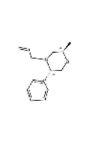 C=CCN1C[C@@H](C)OC[C@@H]1c1ccccc1